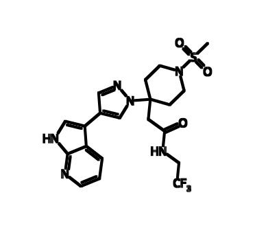 CS(=O)(=O)N1CCC(CC(=O)NCC(F)(F)F)(n2cc(-c3c[nH]c4ncccc34)cn2)CC1